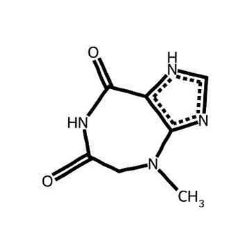 CN1CC(=O)NC(=O)c2[nH]cnc21